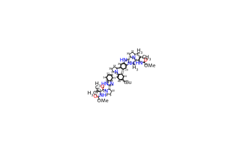 COC(=O)NC(C(=O)N1CCC[C@H]1c1nc2cc([C@@H]3CC[C@@H](c4ccc5c(c4)NC([C@@H]4CCCN4C(C)C(NC(=O)OC)=C(C)C)N5)N3c3ccc(C(C)(C)C)cc3)ccc2[nH]1)=C(C)C